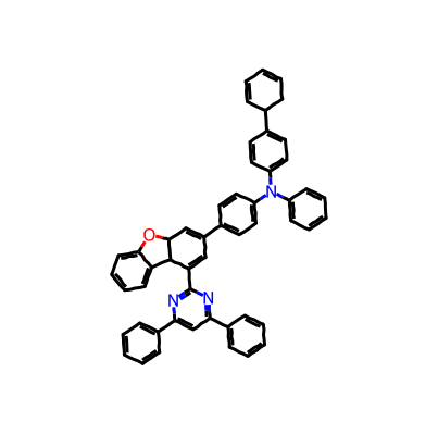 C1=CCC(c2ccc(N(c3ccccc3)c3ccc(C4=CC5Oc6ccccc6C5C(c5nc(-c6ccccc6)cc(-c6ccccc6)n5)=C4)cc3)cc2)C=C1